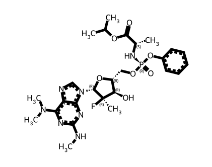 CNc1nc(N(C)C)c2ncn([C@@H]3O[C@H](CO[P@](=O)(N[C@@H](C)C(=O)OC(C)C)Oc4ccccc4)[C@@H](O)[C@@]3(C)F)c2n1